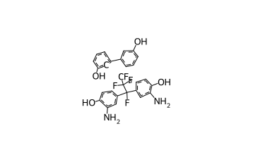 Nc1cc(C(F)(c2ccc(O)c(N)c2)C(F)(F)C(F)(F)F)ccc1O.Oc1cccc(-c2cccc(O)c2)c1